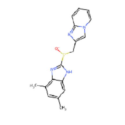 Cc1cc(C)c2nc([S+]([O-])Cc3cn4ccccc4n3)[nH]c2c1